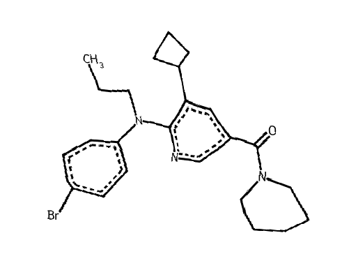 CCCN(c1ccc(Br)cc1)c1ncc(C(=O)N2CCCCC2)cc1C1CCC1